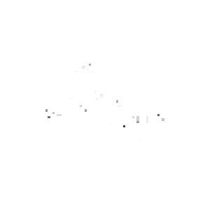 COc1cc(NC(=O)C/C(C)=N/NC(=O)c2ccccn2)c(OC)cc1Cl